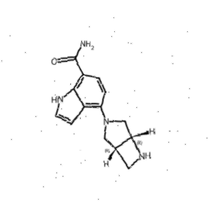 NC(=O)c1ccc(N2C[C@H]3CN[C@H]3C2)c2cc[nH]c12